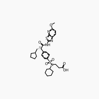 COc1ccc2nc(NC(=O)[C@@H](CC3CCCC3)c3ccc(S(=O)(=O)N(CCC(=O)O)C4CCCCC4)cc3)sc2n1